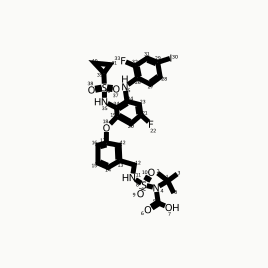 CC(C)(C)N(C(=O)O)S(=O)(=O)NCc1cccc(Oc2cc(F)cc(Nc3ccc(I)cc3F)c2NS(=O)(=O)C2CC2)c1